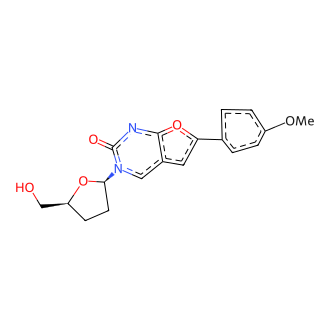 COc1ccc(-c2cc3cn([C@H]4CC[C@@H](CO)O4)c(=O)nc3o2)cc1